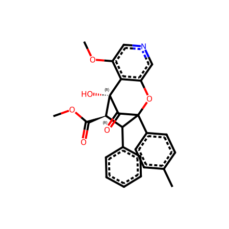 COC(=O)[C@@H]1C(c2ccccc2)C2(c3ccc(C)cc3)Oc3cncc(OC)c3[C@@]1(O)C2=O